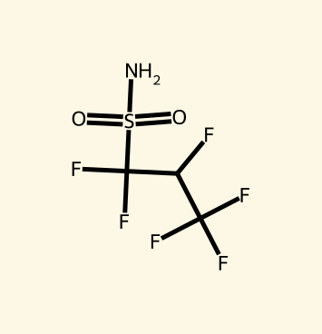 NS(=O)(=O)C(F)(F)C(F)C(F)(F)F